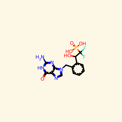 Nc1nc2c(ncn2Cc2ccccc2C(O)C(F)(F)P(=O)(O)O)c(=O)[nH]1